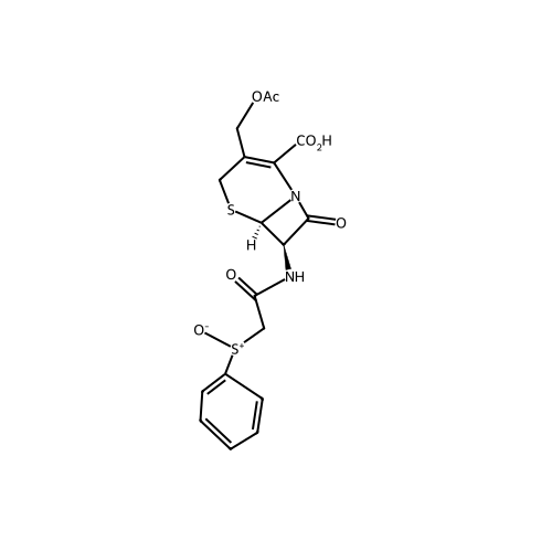 CC(=O)OCC1=C(C(=O)O)N2C(=O)[C@@H](NC(=O)C[S+]([O-])c3ccccc3)[C@H]2SC1